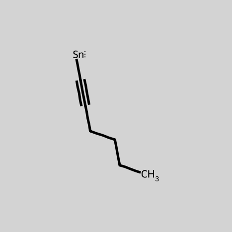 CCCCC#[C][Sn]